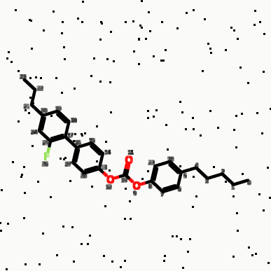 CCCCCc1ccc(OC(=O)Oc2ccc(-c3ccc(CCC)cc3F)cc2)cc1